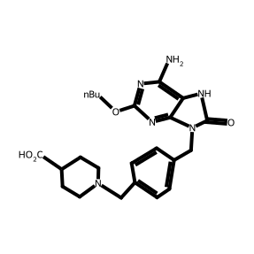 CCCCOc1nc(N)c2[nH]c(=O)n(Cc3ccc(CN4CCC(C(=O)O)CC4)cc3)c2n1